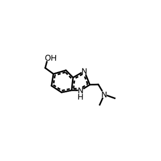 CN(C)Cc1nc2cc(CO)ccc2[nH]1